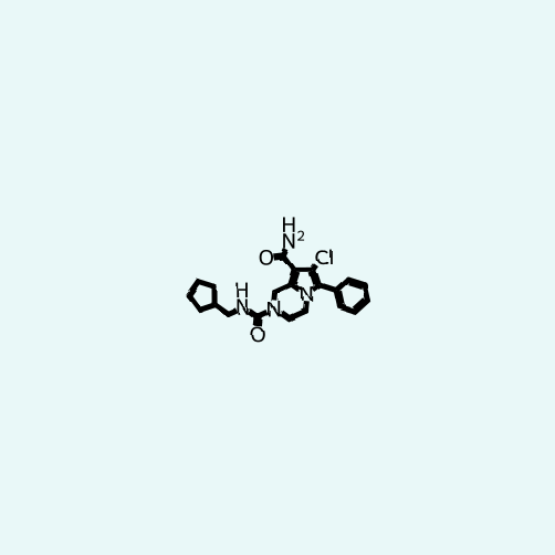 NC(=O)c1c(Cl)c(-c2ccccc2)n2c1CN(C(=O)NCC1CCCC1)CC2